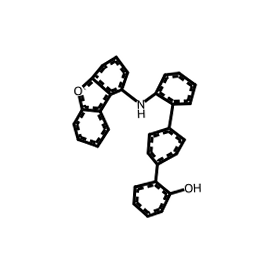 Oc1ccccc1-c1ccc(-c2ccccc2Nc2cccc3oc4ccccc4c23)cc1